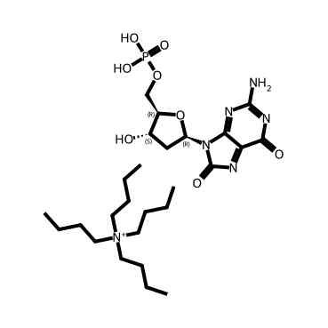 CCCC[N+](CCCC)(CCCC)CCCC.NC1=NC(=O)C2=NC(=O)N([C@H]3C[C@H](O)[C@@H](COP(=O)(O)O)O3)C2=N1